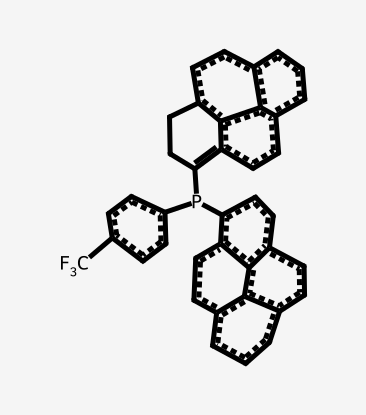 FC(F)(F)c1ccc(P(C2=c3ccc4cccc5ccc(c3c54)CC2)c2ccc3ccc4cccc5ccc2c3c45)cc1